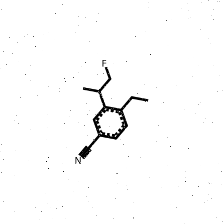 CCc1ccc(C#N)cc1[C](C)CF